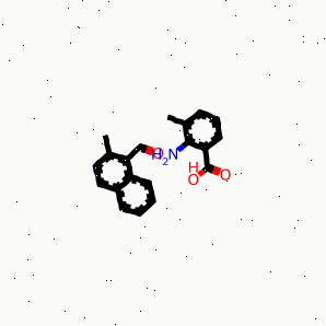 Cc1ccc2ccccc2c1C=O.Cc1cccc(C(=O)O)c1N